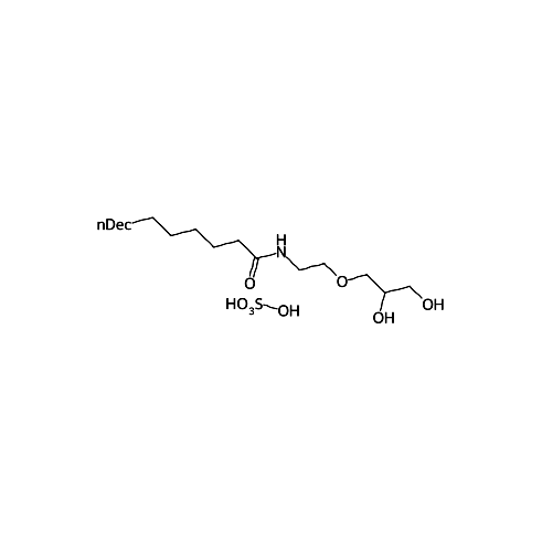 CCCCCCCCCCCCCCCC(=O)NCCOCC(O)CO.O=S(=O)(O)O